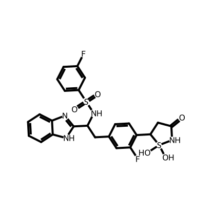 O=C1CC(c2ccc(CC(NS(=O)(=O)c3cccc(F)c3)c3nc4ccccc4[nH]3)cc2F)S(O)(O)N1